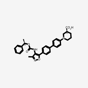 Cc1noc(-c2ccc(-c3ccc(N4CCC[C@H](C(=O)O)C4)cc3)cc2)c1NC(=O)O[C@H](C)c1ccccc1